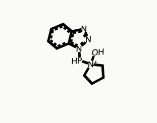 O[N+]1(Pn2nnc3ccccc32)CCCC1